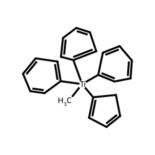 [CH3][Ti]([C]1=CC=CC1)([c]1ccccc1)([c]1ccccc1)[c]1ccccc1